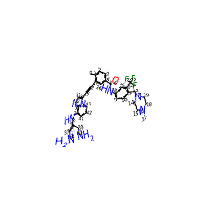 Cc1ccc(C(=O)Nc2ccc(CN3CCN(C)CC3)c(C(F)(F)F)c2)cc1C#Cc1cnc2c(N/C(=C/N)CN)cccn12